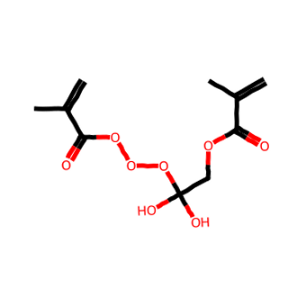 C=C(C)C(=O)OCC(O)(O)OOOC(=O)C(=C)C